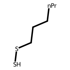 C[CH]CCCCSS